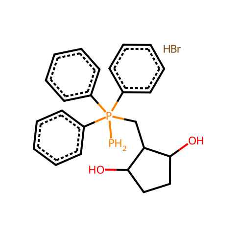 Br.OC1CCC(O)C1CP(P)(c1ccccc1)(c1ccccc1)c1ccccc1